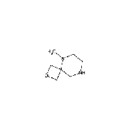 CN1CCNCC12COC2